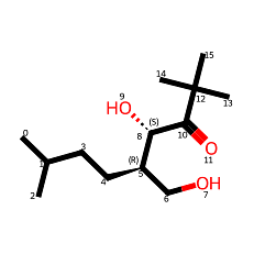 CC(C)CC[C@H](CO)[C@H](O)C(=O)C(C)(C)C